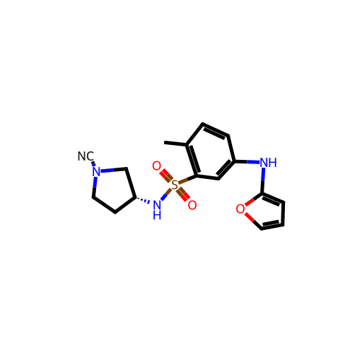 Cc1ccc(Nc2ccco2)cc1S(=O)(=O)N[C@@H]1CCN(C#N)C1